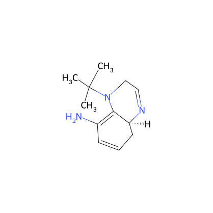 CC(C)(C)N1CC=N[C@H]2CC=CC(N)=C21